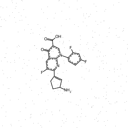 NC1C=C(c2nc3c(cc2F)c(=O)c(C(=O)O)cn3-c2ccc(F)cc2F)CC1